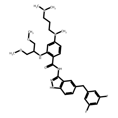 COCC(COC)Nc1cc(N(C)CCCN(C)C)ccc1C(=O)Nc1n[nH]c2ccc(Cc3cc(F)cc(F)c3)cc12